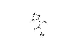 COC(=O)C(O)c1ncc[nH]1